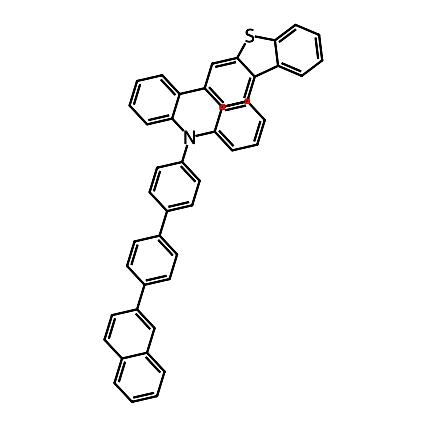 c1ccc(N(c2ccc(-c3ccc(-c4ccc5ccccc5c4)cc3)cc2)c2ccccc2-c2ccc3c(c2)sc2ccccc23)cc1